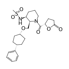 CS(=O)(=O)N[C@H]1CCCN(C(=O)[C@@H]2CCC(=O)O2)[C@H]1CO[C@H]1CC[C@@H](c2ccccc2)CC1